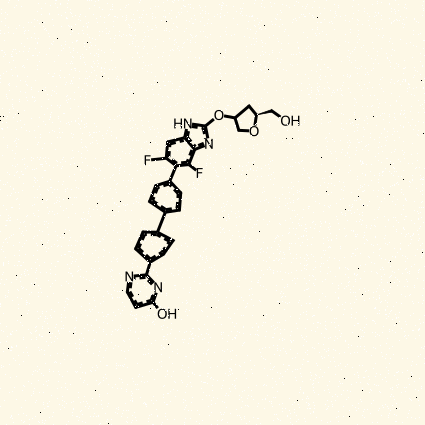 OC[C@@H]1CC(Oc2nc3c(F)c(-c4ccc(-c5ccc(-c6nccc(O)n6)cc5)cc4)c(F)cc3[nH]2)CO1